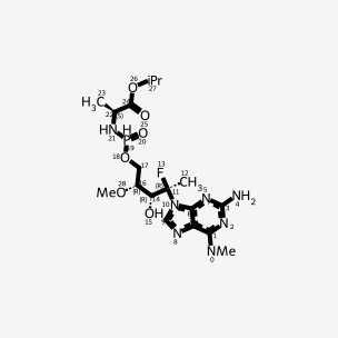 CNc1nc(N)nc2c1ncn2[C@](C)(F)[C@H](O)[C@@H](CO[PH](=O)N[C@@H](C)C(=O)OC(C)C)OC